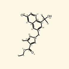 CCOC(=O)c1cn(Cc2cc(C(C)(C)O)c3ncc(Cl)cc3c2)nc1C